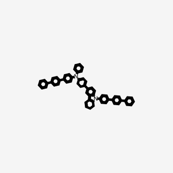 C1=Cc2c(n(-c3ccc(-c4ccc(-c5ccccc5)cc4)cc3)c3ccc(C4=CC=C(N(c5ccccc5)c5ccc(-c6ccc(-c7ccccc7)cc6)cc5)CC4)cc23)CC1